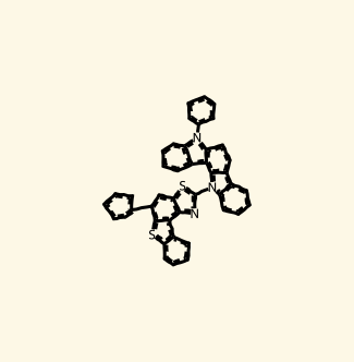 c1ccc(-c2cc3sc(-n4c5ccccc5c5ccc6c(c7ccccc7n6-c6ccccc6)c54)nc3c3c2sc2ccccc23)cc1